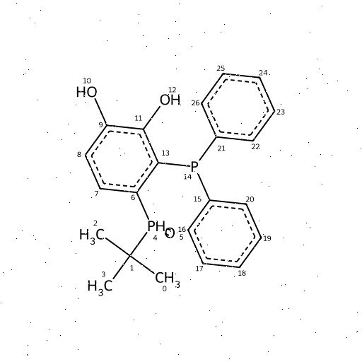 CC(C)(C)[PH](=O)c1ccc(O)c(O)c1P(c1ccccc1)c1ccccc1